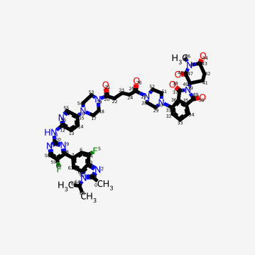 Cc1nc2c(F)cc(-c3nc(Nc4ccc(N5CCN(C(=O)CCCC(=O)N6CCN(c7cccc8c7C(=O)N(C7CCC(=O)N(C)C7=O)C8=O)CC6)CC5)cn4)ncc3F)cc2n1C(C)C